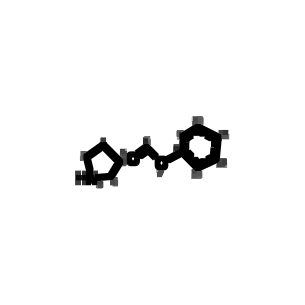 C1CCNC1.O=COc1ccccc1